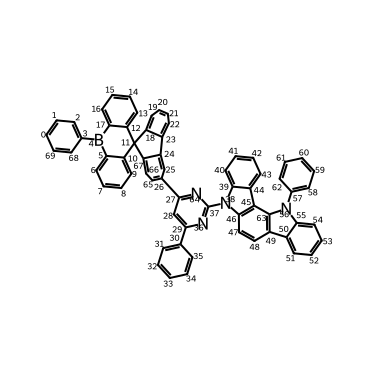 c1ccc(B2c3ccccc3C3(c4ccccc42)c2ccccc2-c2cc(-c4cc(-c5ccccc5)nc(-n5c6ccccc6c6c5ccc5c7ccccc7n(-c7ccccc7)c56)n4)ccc23)cc1